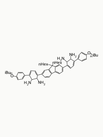 CCCCCCC1(CCCCCC)c2cc(C3=CC=C(c4ccc(O[C@H](C)CC)cc4)C(N)C3N)ccc2-c2ccc(C3=CC=C(c4ccc(O[C@H](C)CC)cc4)C(N)C3N)cc21